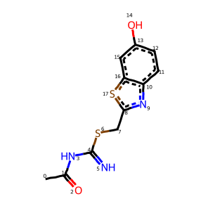 CC(=O)NC(=N)SCc1nc2ccc(O)cc2s1